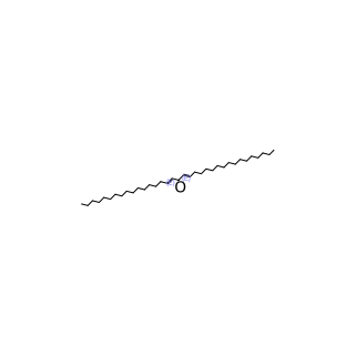 CCCCCCCCCCCCCCC/C=C/C(=O)/C=C/CCCCCCCCCCCCCCC